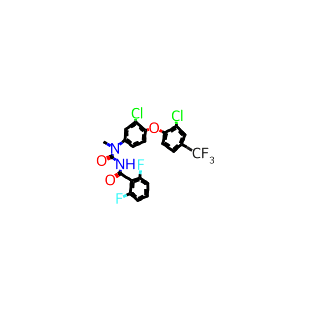 CN(C(=O)NC(=O)c1c(F)cccc1F)c1ccc(Oc2ccc(C(F)(F)F)cc2Cl)c(Cl)c1